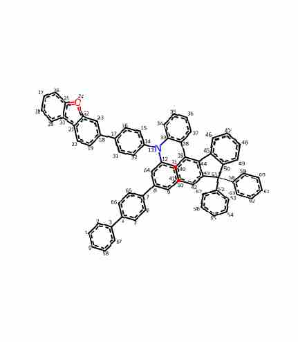 c1ccc(-c2ccc(-c3cccc(N(c4ccc(-c5ccc6c(c5)oc5ccccc56)cc4)c4ccccc4-c4cccc5c4-c4ccccc4C5(c4ccccc4)c4ccccc4)c3)cc2)cc1